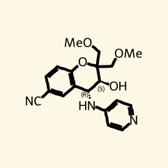 COCC1(COC)Oc2ccc(C#N)cc2[C@@H](Nc2ccncc2)[C@@H]1O